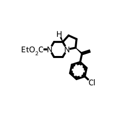 C=C(c1cccc(Cl)c1)[C@@H]1CC[C@H]2CN(C(=O)OCC)CCN21